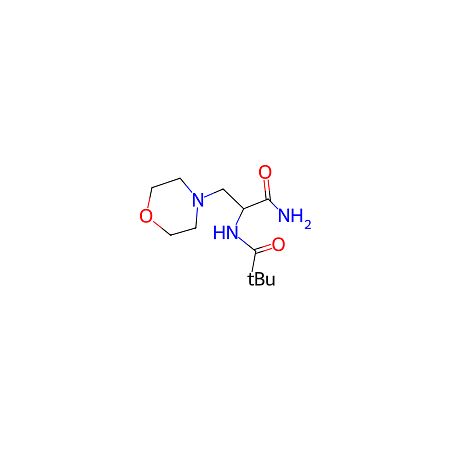 CC(C)(C)C(=O)NC(CN1CCOCC1)C(N)=O